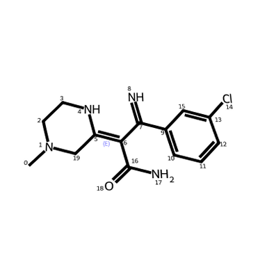 CN1CCN/C(=C(\C(=N)c2cccc(Cl)c2)C(N)=O)C1